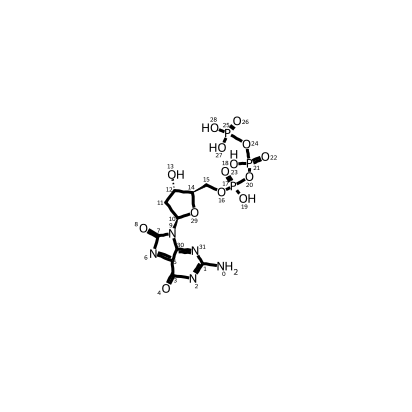 NC1=NC(=O)C2=NC(=O)N([C@H]3C[C@H](O)[C@@H](COP(=O)(O)OP(=O)(O)OP(=O)(O)O)O3)C2=N1